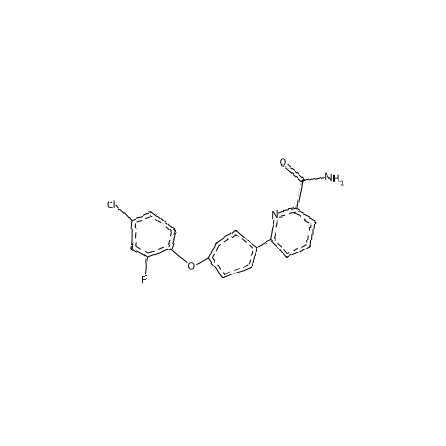 NC(=O)c1cccc(-c2ccc(Oc3ccc(Cl)cc3F)cc2)n1